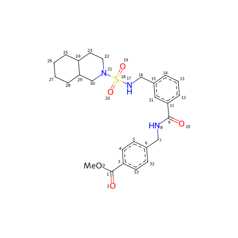 COC(=O)c1ccc(CNC(=O)c2cccc(CNS(=O)(=O)N3CCC4CCCCC4C3)c2)cc1